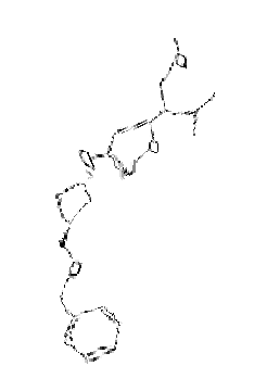 COCC(c1cc(O[C@H]2C[C@H](COCc3ccccc3)C2)no1)C(C)C